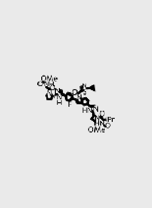 COC(=O)NCC(=O)N1CCC[C@H]1c1ncc(-c2cc(F)c3c(c2)OC(c2cnc(C4CC4)s2)n2c-3cc3cc(-c4cnc(C5CCN5C(=O)C(NC(=O)OC)C(C)C)[nH]4)ccc32)[nH]1